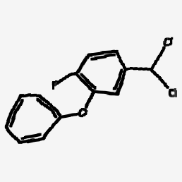 Fc1ccc(C(Cl)Cl)cc1Oc1ccccc1